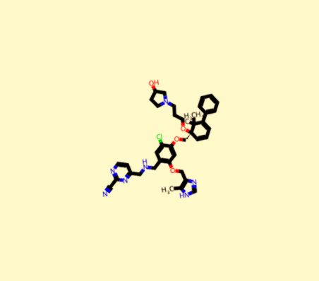 Cc1[nH]cnc1COc1cc(OC[C@@]2(OCCCN3CCC(O)C3)C=CC=C(c3ccccc3)C2(C)C)c(Cl)cc1CNCc1ccnc(C#N)n1